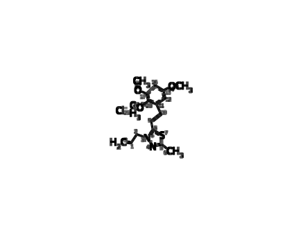 C=CC[n+]1nc(C)sc1C=Cc1cc(OC)cc(OC)c1OC.[Cl-]